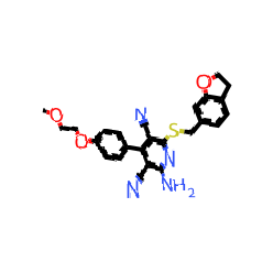 COCCOc1ccc(-c2c(C#N)c(N)nc(SCc3ccc4c(c3)OCC4)c2C#N)cc1